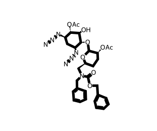 CC(=O)O[C@@H]1[C@@H](O)[C@H](OC2O[C@H](CN(Cc3ccccc3)C(=O)OCc3ccccc3)CC[C@H]2OC(C)=O)[C@@H](N=[N+]=[N-])C[C@H]1N=[N+]=[N-]